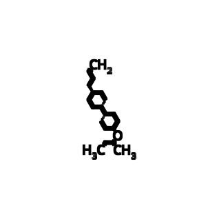 C=CCC[C@H]1CC[C@H]([C@H]2CC[C@H](OC(C)CC)CC2)CC1